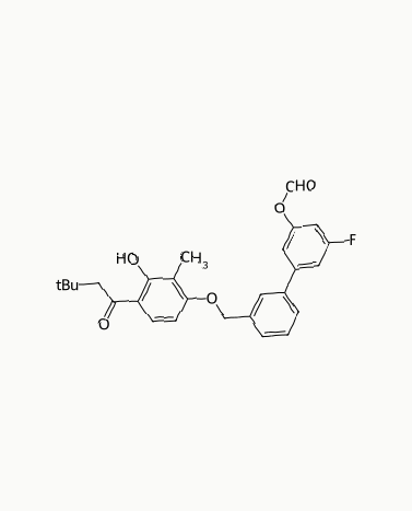 Cc1c(OCc2cccc(-c3cc(F)cc(OC=O)c3)c2)ccc(C(=O)CC(C)(C)C)c1O